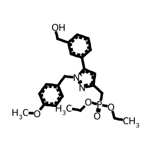 CCOP(=O)(Cc1cc(-c2cccc(CO)c2)n(Cc2ccc(OC)cc2)n1)OCC